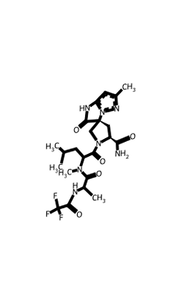 Cc1cc2n(n1)[C@@]1(C[C@@H](C(N)=O)N(C(=O)C(CC(C)C)N(C)C(=O)C(C)NC(=O)C(F)(F)F)C1)C(=O)N2